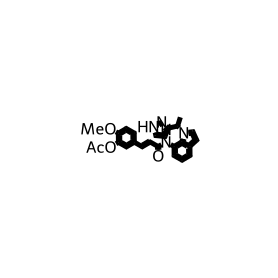 COc1ccc(/C=C/C(=O)Nc2cccc3ccn(C(C)c4cc[nH]n4)c23)cc1OC(C)=O